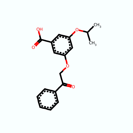 CC(C)Oc1cc(OCC(=O)c2ccccc2)cc(C(=O)O)c1